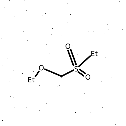 CCO[CH]S(=O)(=O)CC